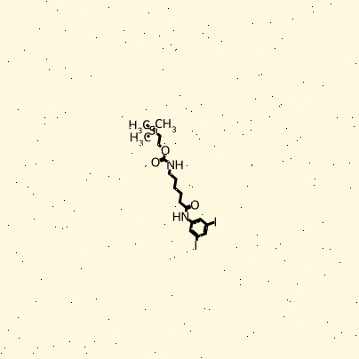 C[Si](C)(C)CCOC(=O)NCCCCCC(=O)Nc1cc(I)cc(I)c1